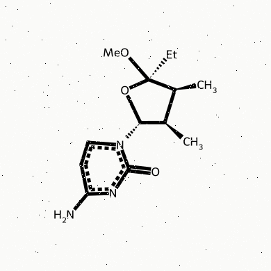 CC[C@@]1(OC)O[C@@H](n2ccc(N)nc2=O)[C@H](C)[C@@H]1C